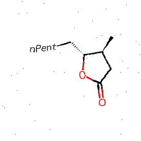 CCCCCC[C@H]1OC(=O)C[C@@H]1C